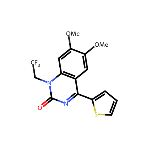 COc1cc2c(-c3cccs3)nc(=O)n(CC(F)(F)F)c2cc1OC